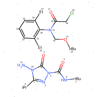 CC(C)c1nn(C(=O)NC(C)(C)C)c(=O)n1N.CCCCOCN(C(=O)CCl)c1c(CC)cccc1CC